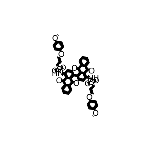 COc1ccc(OCCCS(=O)(=O)Nc2ccc(-c3ccc(NS(=O)(=O)CCCOc4ccc(OC)cc4)c4c3C(=O)c3ccccc3C4=O)c3c2C(=O)c2ccccc2C3=O)cc1